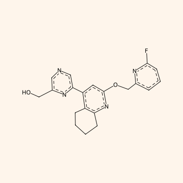 OCc1cncc(-c2cc(OCc3cccc(F)n3)nc3c2CCCC3)n1